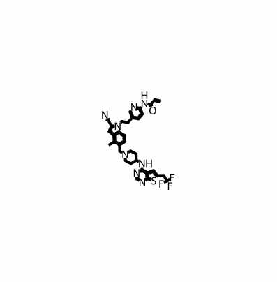 C=CC(=O)Nc1ccc(CCn2c(C#N)cc3c(C)c(CN4CCC(Nc5ncnc6sc(CC(F)(F)F)cc56)CC4)ccc32)cn1